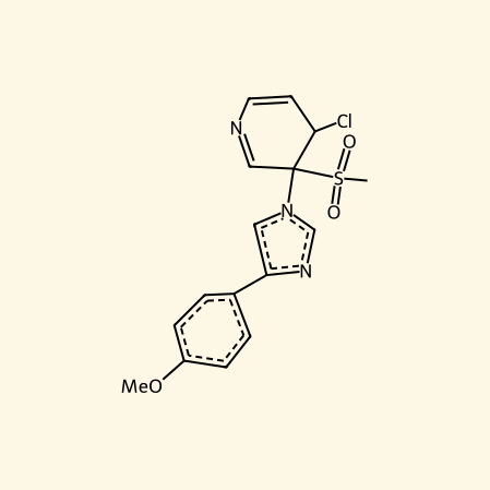 COc1ccc(-c2cn(C3(S(C)(=O)=O)C=NC=CC3Cl)cn2)cc1